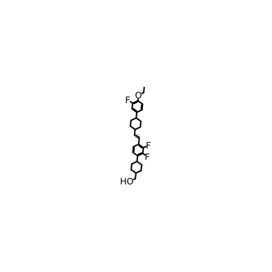 CCOc1ccc(C2CCC(/C=C/c3ccc(C4CCC(CO)CC4)c(F)c3F)CC2)cc1F